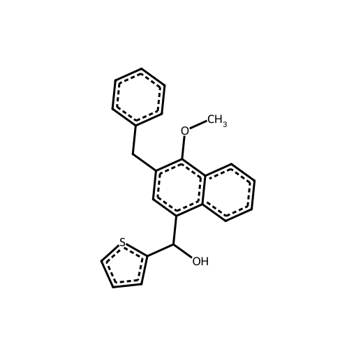 COc1c(Cc2ccccc2)cc(C(O)c2cccs2)c2ccccc12